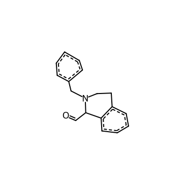 O=CC1c2ccccc2CCN1Cc1ccccc1